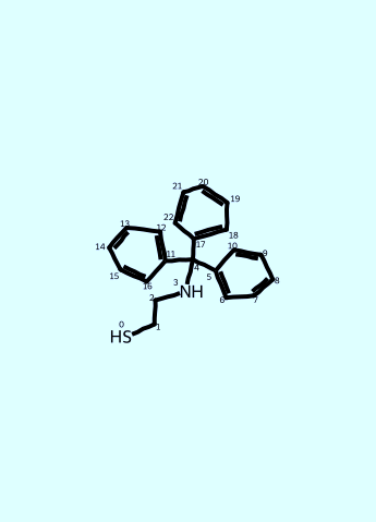 SCCNC(c1ccccc1)(c1ccccc1)c1ccccc1